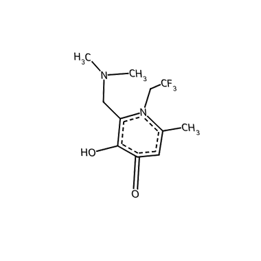 Cc1cc(=O)c(O)c(CN(C)C)n1CC(F)(F)F